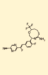 N#Cc1cnc(/C(F)=C/c2ccc(F)c([C@H]3CO[C@@H](C(F)(F)F)CCS/C(N)=N\3)c2)cn1